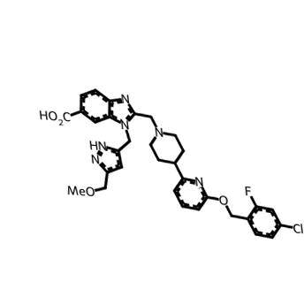 COCc1cc(Cn2c(CN3CCC(c4cccc(OCc5ccc(Cl)cc5F)n4)CC3)nc3ccc(C(=O)O)cc32)[nH]n1